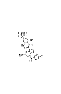 N#CCCN(C(=O)c1ccc(Cl)nc1)c1cccc(C(=O)Nc2c(Br)cc(C(F)(C(F)(F)F)C(F)(F)F)cc2Br)c1F